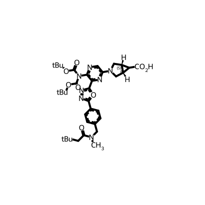 CN(Cc1ccc(-c2nnc(-c3nc(N4C[C@@H]5C(C(=O)O)[C@@H]5C4)cnc3N(C(=O)OC(C)(C)C)C(=O)OC(C)(C)C)o2)cc1)C(=O)CC(C)(C)C